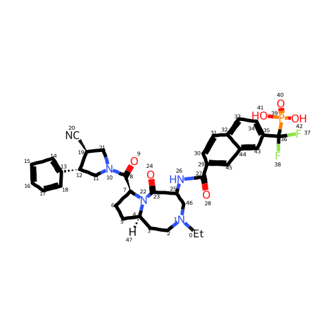 CCN1CC[C@H]2CC[C@@H](C(=O)N3C[C@H](c4ccccc4)[C@@H](C#N)C3)N2C(=O)C(NC(=O)c2ccc3ccc(C(F)(F)P(=O)(O)O)cc3c2)C1